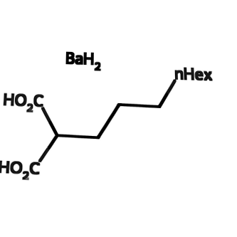 CCCCCCCCCC(C(=O)O)C(=O)O.[BaH2]